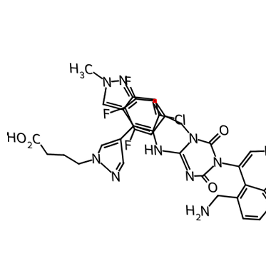 Cn1cc2c(-c3cnn(CCCC(=O)O)c3)c(Nc3nc(=O)n(-c4cncc5cccc(CN)c45)c(=O)n3Cc3cc(F)c(F)c(F)c3)c(Cl)cc2n1